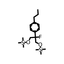 CCCc1ccc(C(F)(CO[Si](C)(C)C)CO[Si](C)(C)C)cc1